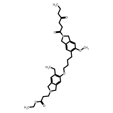 CCCC(=O)CCC(=O)N1Cc2cc(CCCCOc3cc4c(cc3CC)CN(CCC(=O)OCC)C4)c(OC)cc2C1